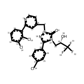 O=c1n(Cc2ccnc(-c3cccc(Cl)c3Cl)c2)nc(-c2ccc(Cl)cc2)n1C[C@H](O)C(F)(F)F